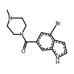 CN1CCN(C(=O)c2cc(Br)c3cc[nH]c3c2)CC1